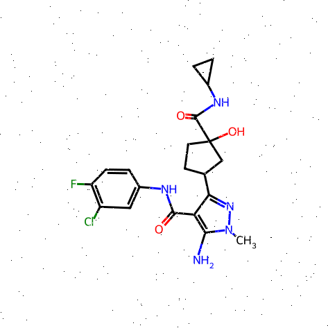 Cn1nc(C2CCC(O)(C(=O)NC3CC3)C2)c(C(=O)Nc2ccc(F)c(Cl)c2)c1N